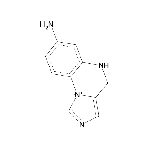 Nc1ccc2c(c1)NCC1=CN=C[N+]12